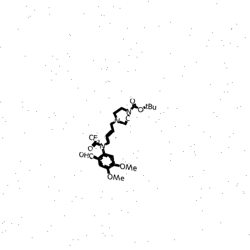 COc1cc(C=O)c(N(C/C=C/CN2CCN(C(=O)OC(C)(C)C)CC2)C(=O)C(F)(F)F)cc1OC